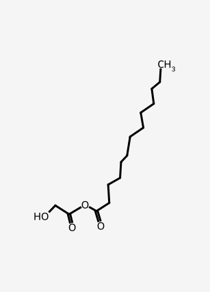 CCCCCCCCCCCCC(=O)OC(=O)CO